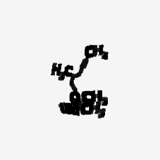 CC#CC[C@H](C)CCO[Si](C)(C)C(C)(C)C